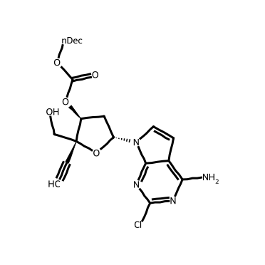 C#C[C@]1(CO)O[C@@H](n2ccc3c(N)nc(Cl)nc32)C[C@@H]1OC(=O)OCCCCCCCCCC